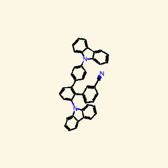 N#Cc1cccc(-c2c(-c3ccc(-n4c5ccccc5c5ccccc54)cc3)cccc2-n2c3ccccc3c3ccccc32)c1